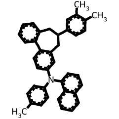 Cc1ccc(N(c2ccc3c(c2)CC(c2ccc(C)c(C)c2)Cc2ccccc2-3)c2cccc3ccccc23)cc1